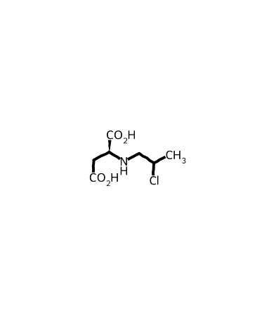 CC(Cl)CN[C@@H](CC(=O)O)C(=O)O